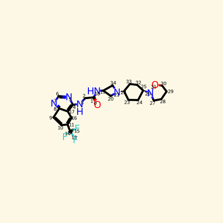 O=C(CNc1ncnc2ccc(C(F)(F)F)cc12)NC1CN([C@H]2CC[C@H](N3CCCCO3)CC2)C1